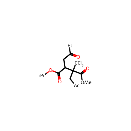 CCC(=O)CC(C(=O)OC(C)C)C(CC(C)=O)(C(=O)OC)C(Cl)(Cl)Cl